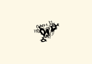 CCc1c[nH]c2cc(NS(=O)(=O)c3cc(C(N)=O)c(O)cc3NCc3ccccc3)ccc12